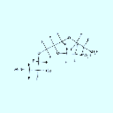 CNC(F)(F)C(F)(C(C)(C)C)C(F)(F)OC(F)(F)C(F)(OC(F)(F)C(F)(F)S(=O)(=O)O)C(F)(F)OC(F)(F)C(F)(F)S(=O)(=O)O